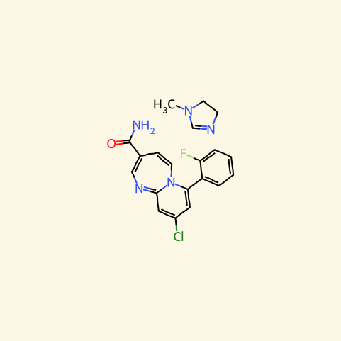 CN1C=NCC1.NC(=O)C1=CN=C2C=C(Cl)C=C(c3ccccc3F)N2C=C1